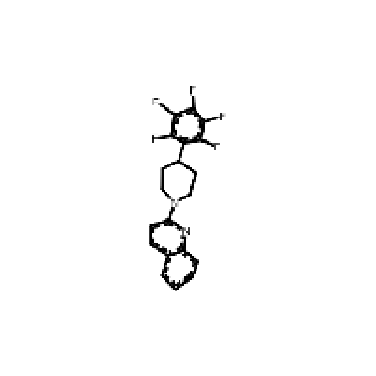 Fc1c(F)c(F)c(C2CCN(c3ccc4ccccc4n3)CC2)c(F)c1F